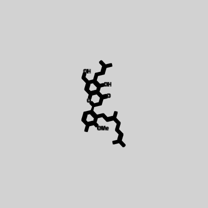 COc1c(C)ccc([C@@H]2CC(=O)c3c(cc(CO)c(CC=C(C)C)c3O)O2)c1C/C=C(\C)CCC=C(C)C